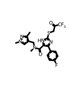 Cc1nn(C)cc1CN(C)C(=O)c1[nH]c(SCC(=O)C(F)(F)F)nc1-c1ccc(F)cc1